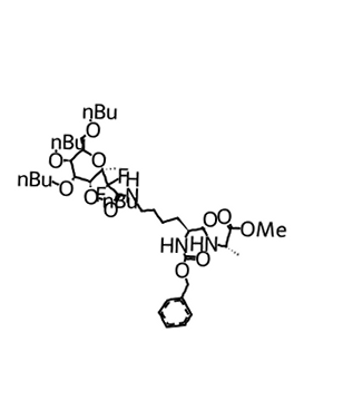 CCCCOC[C@H]1O[C@@](C)(C(F)(F)C(=O)NCCCC[C@H](NC(=O)OCc2ccccc2)C(=O)N[C@@H](C)C(=O)OC)[C@H](OCCCC)[C@@H](OCCCC)[C@H]1OCCCC